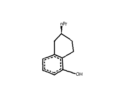 CCC[C@H]1CCc2c(O)cccc2C1